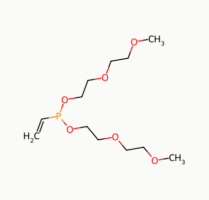 C=CP(OCCOCCOC)OCCOCCOC